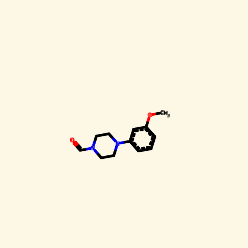 COc1cccc(N2CCN(C=O)CC2)c1